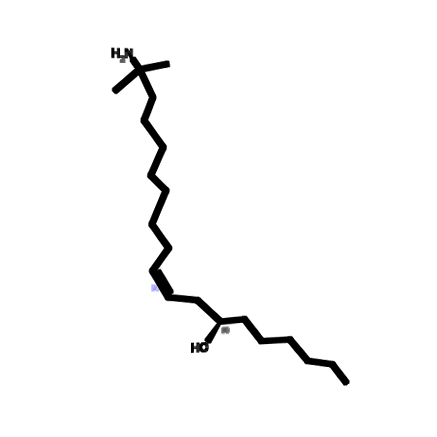 CCCCCC[C@@H](O)C/C=C\CCCCCCCC(C)(C)N